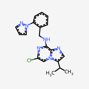 CC(C)c1cnc2c(NCc3ccccc3-n3cccn3)nc(Cl)cn12